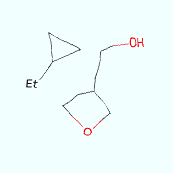 CCC1CC1.OCC1COC1